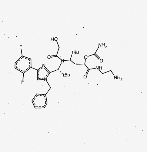 CC(C)(C)C(C[C@H](OC(N)=O)C(=O)NCCN)N(C(=O)CO)[C@@H](c1nc(-c2cc(F)ccc2F)cn1Cc1ccccc1)C(C)(C)C